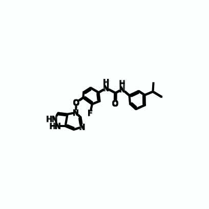 CC(C)c1cccc(NC(=O)Nc2ccc(ON3C=NC=C4NNC=C43)c(F)c2)c1